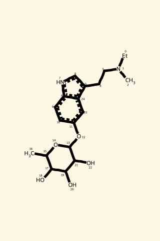 CCN(C)CCc1c[nH]c2ccc(OC3OC(C)C(O)C(O)C3O)cc12